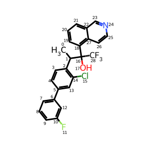 CC(c1ccc(-c2cccc(F)c2)cc1Cl)C(O)(c1cccc2cnccc12)C(F)(F)F